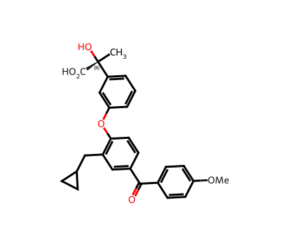 COc1ccc(C(=O)c2ccc(Oc3cccc([C@@](C)(O)C(=O)O)c3)c(CC3CC3)c2)cc1